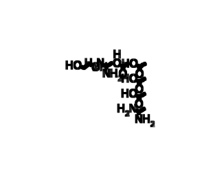 CC(=O)O.CC(=O)O.CC(=O)O.CC(=O)O.CC(N)N.CC(N)N.OCCO